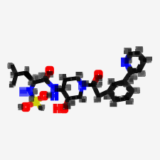 CC(C)C[C@H](NS(C)(=O)=O)C(=O)NC1CCN(C(=O)Cc2cccc(-c3ccccn3)c2)CC1O